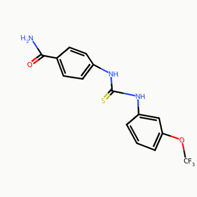 NC(=O)c1ccc(NC(=S)Nc2cccc(OC(F)(F)F)c2)cc1